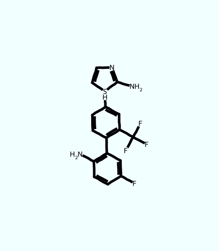 NC1=NC=C[SH]1c1ccc(-c2cc(F)ccc2N)c(C(F)(F)F)c1